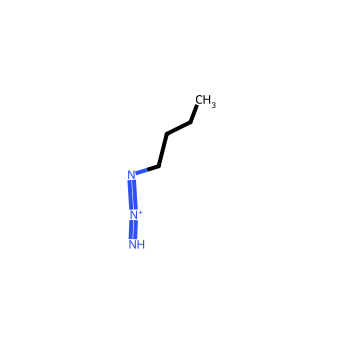 CCCCN=[N+]=N